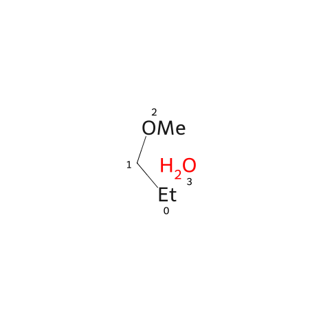 CCCOC.O